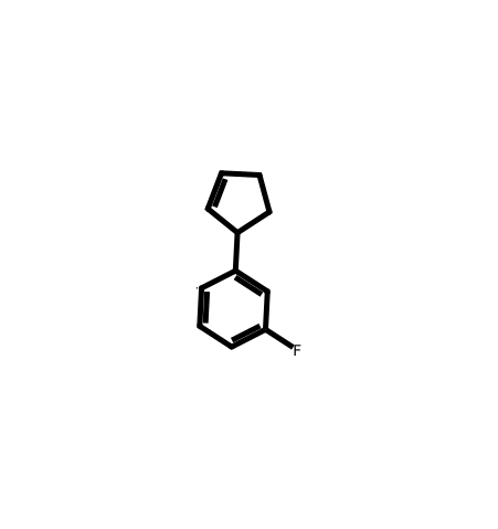 Fc1cc[c]c(C2C=CCC2)c1